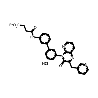 CCOC(=O)CCC(=O)Nc1cccc(-c2cccc(-n3c(=O)c(Cc4cccnc4)nc4cccnc43)c2)c1.Cl